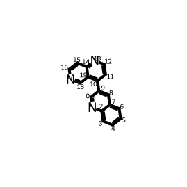 [c]1nc2ccccc2cc1-c1ccnc2ccncc12